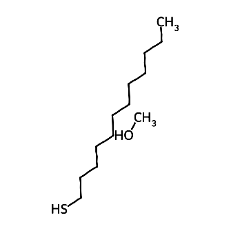 CCCCCCCCCCCCS.CO